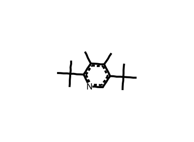 Cc1c(C(C)(C)C)cnc(C(C)(C)C)c1C